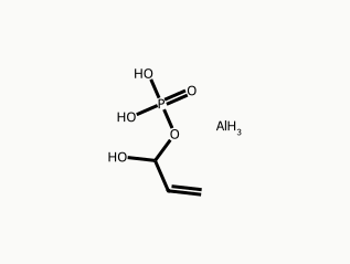 C=CC(O)OP(=O)(O)O.[AlH3]